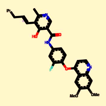 COc1cc2nccc(Oc3ccc(NC(=O)c4cnc(C)c(/C=C/CC(C)C)c4O)cc3F)c2cc1OC